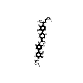 CCCC(O)c1ccc(C2=CCC(C(=O)Oc3ccc(-c4ccc(OCC)c(F)c4F)cc3F)CC2)c(F)c1F